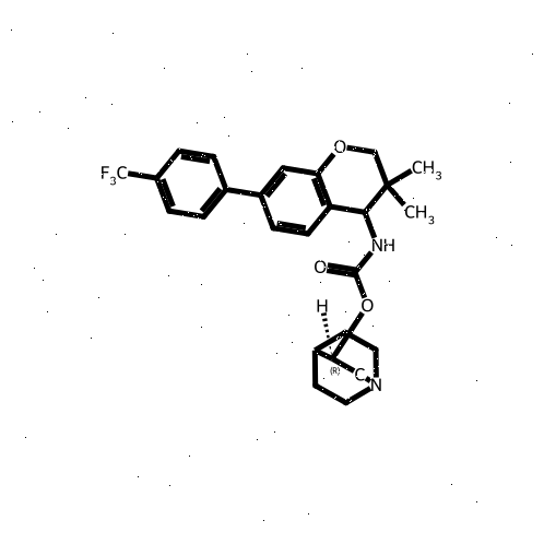 CC1(C)COc2cc(-c3ccc(C(F)(F)F)cc3)ccc2C1NC(=O)O[C@H]1CN2CCC1CC2